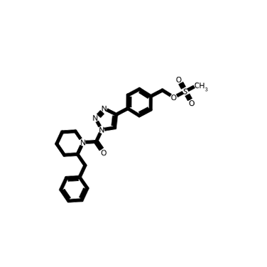 CS(=O)(=O)OCc1ccc(-c2cn(C(=O)N3CCCCC3Cc3ccccc3)nn2)cc1